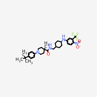 CC1(C(=O)NCC2CCC(Nc3ccc([N+](=O)[O-])c(C(F)(F)F)c3)CC2)CCN(c2ccc(C(C)(C)C)cc2)CC1